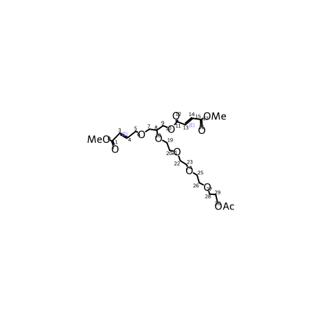 COC(=O)/C=C/COCC(COC(=O)/C=C/C(=O)OC)OCCOCCOCCOCCOC(C)=O